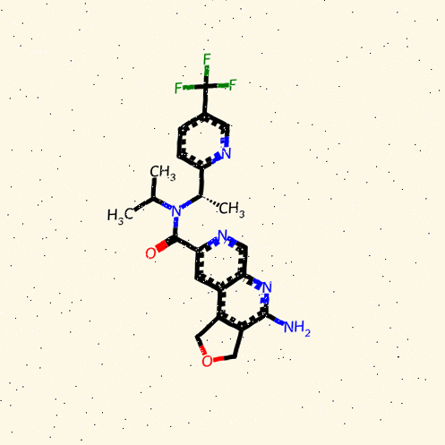 CC(C)N(C(=O)c1cc2c3c(c(N)nc2cn1)COC3)[C@@H](C)c1ccc(C(F)(F)F)cn1